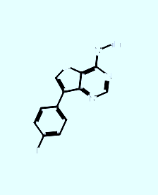 CC(C)Nc1ncnc2c(-c3ccc(I)cc3)csc12